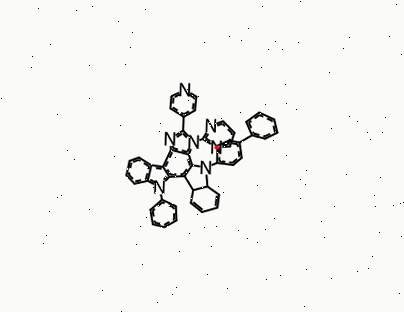 C1=CC2c3c(c4c(nc(-c5ccncc5)n4-c4ncccn4)c4c5ccccc5n(-c5ccccc5)c34)N(c3ccc(-c4ccccc4)cc3)C2C=C1